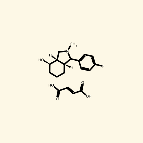 CN1C[C@H]2[C@H](O)CCC[C@H]2C1c1ccc(F)cc1.O=C(O)/C=C/C(=O)O